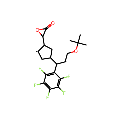 CC(C)(C)OC[CH]C(c1c(F)c(F)c(F)c(F)c1F)C1C[CH]C(C2OC2=O)C1